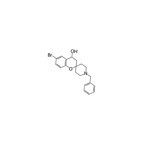 OC1CC2(CCN(Cc3ccccc3)CC2)Oc2ccc(Br)cc21